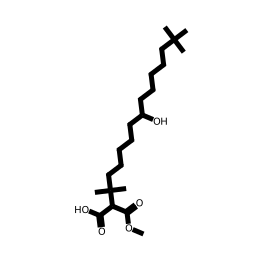 COC(=O)C(C(=O)O)C(C)(C)CCCCCC(O)CCCCCC(C)(C)C